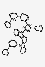 c1ccc(-c2cccc(-n3c4ccccc4c4ccc5c(c6ccccc6n5-c5nc(-c6ccccc6)nc(-c6cccc(-c7cccc(-c8ccccc8)n7)c6)n5)c43)c2)cc1